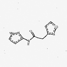 O=C(Cc1ccon1)Nc1cc[nH]n1